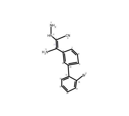 N#C/C(NN)=C(/N)c1cccc(-c2ccccc2Br)c1